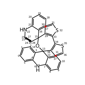 c1ccc2c(c1)Nc1ccccc1C21OC2(c3ccccc3Nc3ccccc32)c2ccsc2-c2sccc21